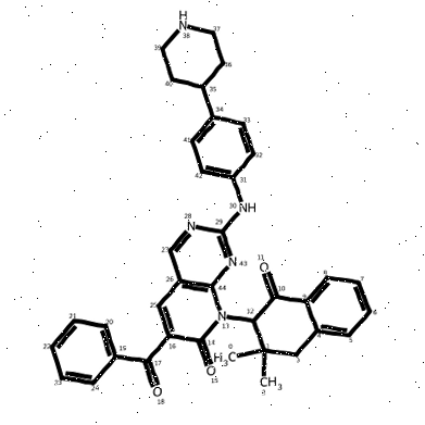 CC1(C)Cc2ccccc2C(=O)C1n1c(=O)c(C(=O)c2ccccc2)cc2cnc(Nc3ccc(C4CCNCC4)cc3)nc21